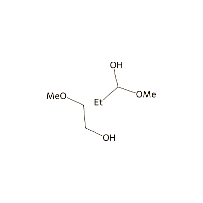 CCC(O)OC.COCCO